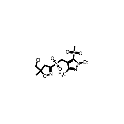 CCn1nc(C(F)(F)F)c(CS(=O)(=O)C2=NOC(C)(CCl)C2)c1S(C)(=O)=O